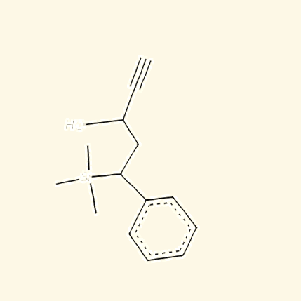 C#CC(O)CC(c1ccccc1)[Si](C)(C)C